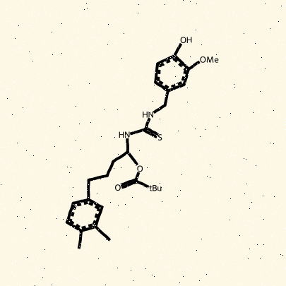 COc1cc(CNC(=S)NC(CCCc2ccc(C)c(C)c2)OC(=O)C(C)(C)C)ccc1O